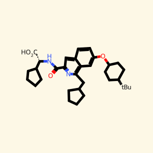 CC(C)(C)C1CCC(Oc2ccc3cc(C(=O)N[C@@H](C(=O)O)C4CCCC4)nc(CC4CCCC4)c3c2)CC1